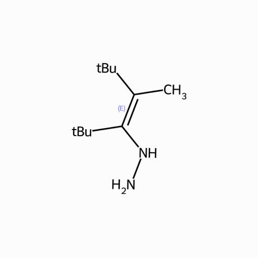 C/C(=C(\NN)C(C)(C)C)C(C)(C)C